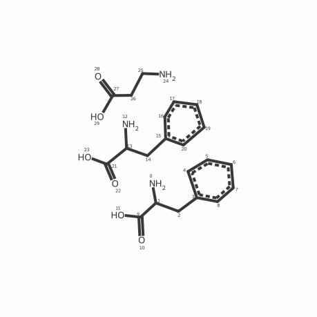 NC(Cc1ccccc1)C(=O)O.NC(Cc1ccccc1)C(=O)O.NCCC(=O)O